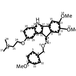 COc1ccc(CO/N=C2/c3cc(OC)c(OC)cc3-c3[nH]c4ccc(OCCN(C)C)cc4c32)cc1